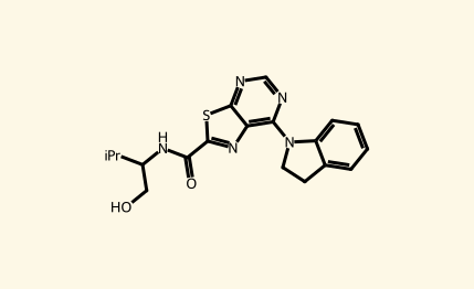 CC(C)C(CO)NC(=O)c1nc2c(N3CCc4ccccc43)ncnc2s1